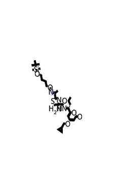 CCC[C@@H](NC(=O)[C@]1(N)CSC(/C(C)=N/OCCCCO[Si](C)(C)C(C)(C)C)=N1)c1cc(OCC2CC2)cc(=O)o1